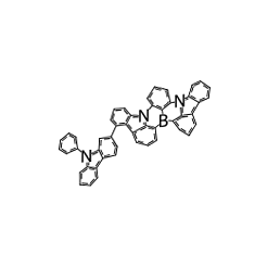 c1ccc(-n2c3ccccc3c3ccc(-c4cccc5c4c4cccc6c4n5-c4cccc5c4B6c4cccc6c7ccccc7n-5c46)cc32)cc1